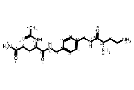 CC(=O)NC(CCC(N)=O)C(=O)NCc1ccc(CNC(=O)[C@@H](N)CCN)cc1